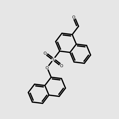 O=Cc1ccc(S(=O)(=O)Oc2cccc3ccccc23)c2ccccc12